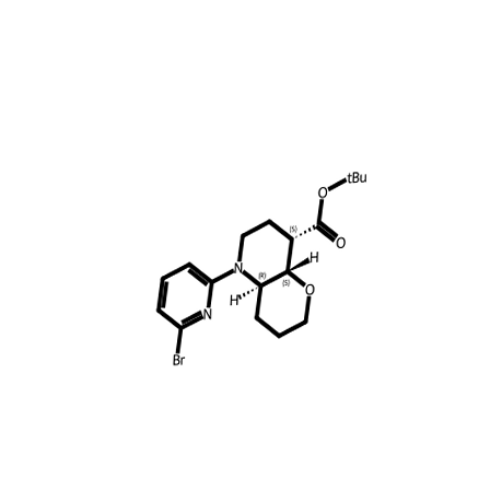 CC(C)(C)OC(=O)[C@H]1CCN(c2cccc(Br)n2)[C@@H]2CCCO[C@@H]12